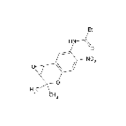 CCC(=O)Nc1cc2c(cc1[N+](=O)[O-])OC(C)(C)C1OC21